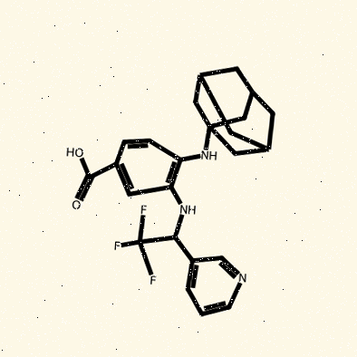 O=C(O)c1ccc(NC23CC4CC(CC(C4)C2)C3)c(NC(c2cccnc2)C(F)(F)F)c1